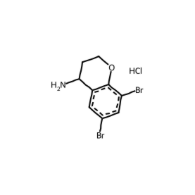 Cl.NC1CCOc2c(Br)cc(Br)cc21